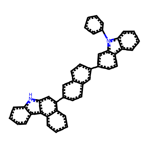 c1ccc(-n2c3ccccc3c3ccc(-c4ccc5cc(-c6cc7[nH]c8ccccc8c7c7ccccc67)ccc5c4)cc32)cc1